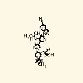 CC(C)Nc1cc(-n2ncc3cc(C#N)cnc32)ncc1-c1cn([C@@H]2CCN(S(C)(=O)=O)C[C@H]2CS(=O)(=O)O)nn1